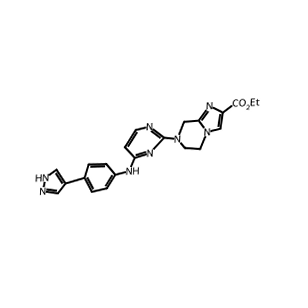 CCOC(=O)c1cn2c(n1)CN(c1nccc(Nc3ccc(-c4cn[nH]c4)cc3)n1)CC2